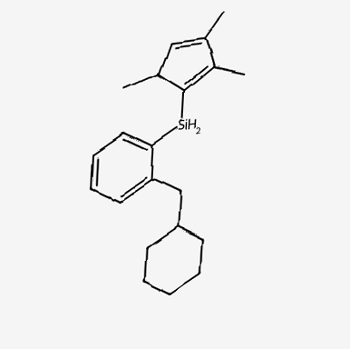 CC1=CC(C)C([SiH2]c2ccccc2CC2CCCCC2)=C1C